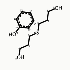 OCCCSCCCO.Oc1ccccc1